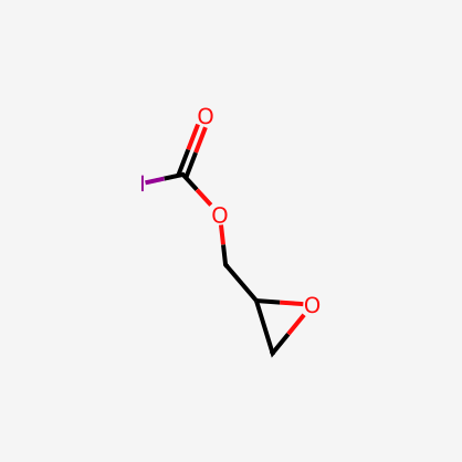 O=C(I)OCC1CO1